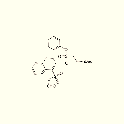 CCCCCCCCCCCCS(=O)(=O)Oc1ccccc1.O=COS(=O)(=O)c1cccc2ccccc12